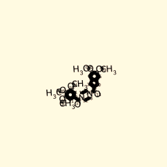 COc1cc2c(cc1OC)CC(C(=O)N1CCN(C(=O)c3cc(OC)c(OC)c(OC)c3)CC1)=C2